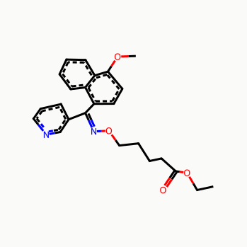 CCOC(=O)CCCCO/N=C(/c1cccnc1)c1ccc(OC)c2ccccc12